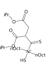 CCCCCCCC[N+](S)(CCCCCCCC)C(=S)C(CC(=O)OC(C)C)C(=O)OC(C)C